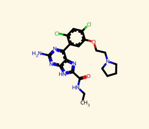 CCNC(=O)c1nc2c(-c3cc(OCCN4CCCC4)c(Cl)cc3Cl)nc(N)nc2[nH]1